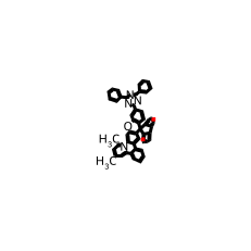 Cc1cc(C)nc(-c2ccccc2-c2ccc3c(c2)C2(c4ccc(-c5nc(-c6ccccc6)nc(-c6ccccc6)n5)cc4O3)c3ccccc3-c3ccccc32)c1